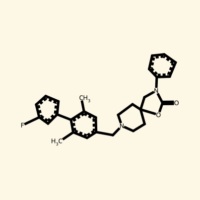 Cc1cc(CN2CCC3(CC2)CN(c2ccccc2)C(=O)O3)cc(C)c1-c1cccc(F)c1